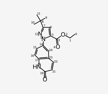 CCOC(=O)c1cc(C(C)(C)C)nn1-c1ccc2[nH]c(=O)ccc2c1